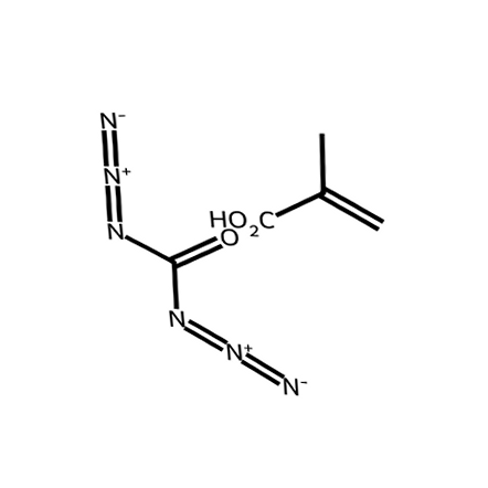 C=C(C)C(=O)O.[N-]=[N+]=NC(=O)N=[N+]=[N-]